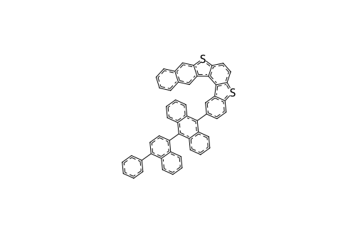 c1ccc(-c2ccc(-c3c4ccccc4c(-c4ccc5sc6ccc7sc8cc9ccccc9cc8c7c6c5c4)c4ccccc34)c3ccccc23)cc1